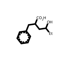 CCC(O)CC(Cc1ccccc1)C(=O)O